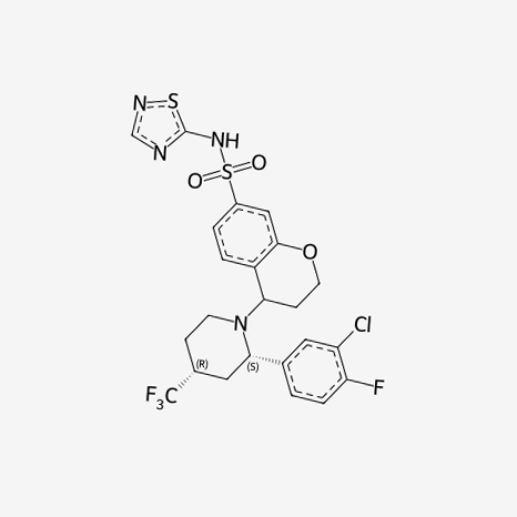 O=S(=O)(Nc1ncns1)c1ccc2c(c1)OCCC2N1CC[C@@H](C(F)(F)F)C[C@H]1c1ccc(F)c(Cl)c1